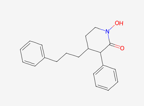 O=C1C(c2ccccc2)C(CCCc2ccccc2)CCN1O